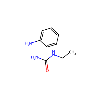 CCNC(N)=O.Nc1ccccc1